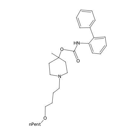 CCCCCOCCCCN1CCC(C)(OC(=O)Nc2ccccc2-c2ccccc2)CC1